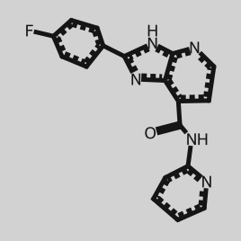 O=C(Nc1ccccn1)c1ccnc2[nH]c(-c3ccc(F)cc3)nc12